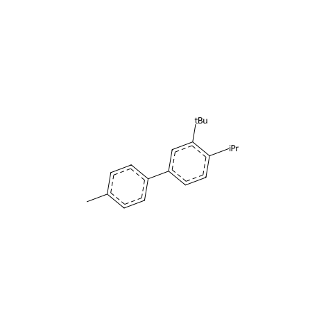 Cc1ccc(-c2ccc(C(C)C)c(C(C)(C)C)c2)cc1